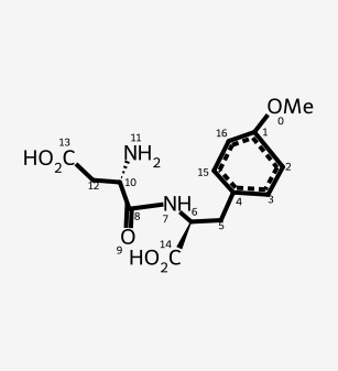 COc1ccc(C[C@H](NC(=O)[C@@H](N)CC(=O)O)C(=O)O)cc1